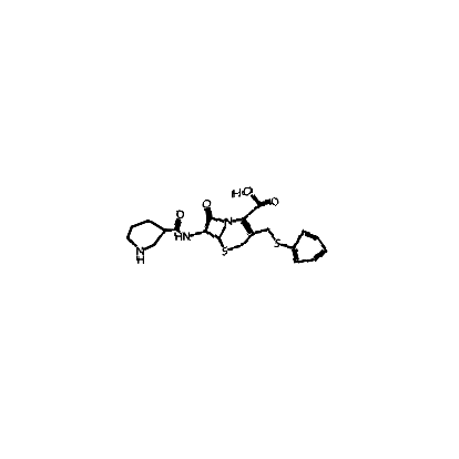 O=C(O)C1=C(CSc2ccccc2)CSC2C(NC(=O)C3CCCNC3)C(=O)N12